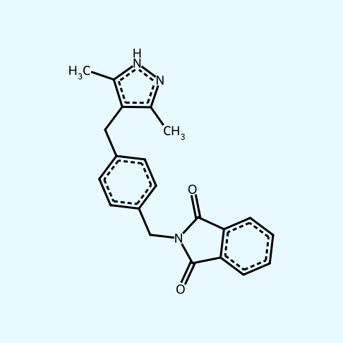 Cc1n[nH]c(C)c1Cc1ccc(CN2C(=O)c3ccccc3C2=O)cc1